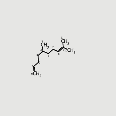 C=CCC[C](C)CCC=C(C)C